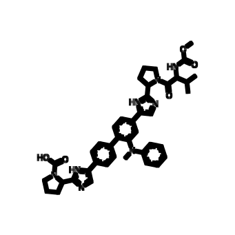 COC(=O)NC(C(=O)N1CCCC1c1ncc(-c2ccc(-c3ccc(-c4cnc(C5CCCN5C(=O)O)[nH]4)cc3)c(N(C)c3ccccc3)c2)[nH]1)C(C)C